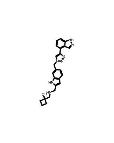 OC1(CNCc2cc3ccc(Cn4cc(-c5cccc6[nH]ncc56)nn4)cc3[nH]2)CCC1